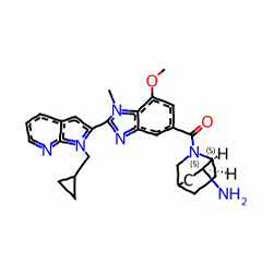 COc1cc(C(=O)N2CC3CC[C@H]2[C@@H](N)C3)cc2nc(-c3cc4cccnc4n3CC3CC3)n(C)c12